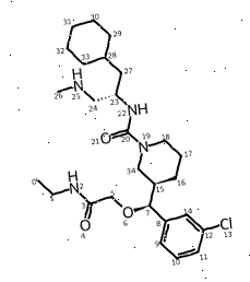 CCNC(=O)CO[C@H](c1cccc(Cl)c1)[C@@H]1CCCN(C(=O)N[C@H](CNC)CC2CCCCC2)C1